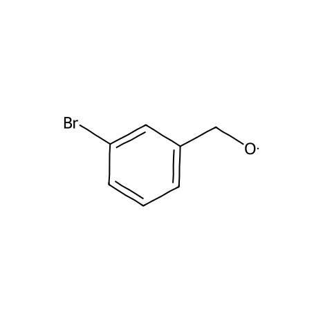 [O]Cc1cccc(Br)c1